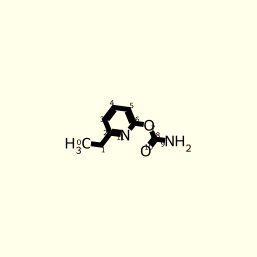 CCc1cccc(OC(N)=O)n1